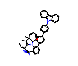 C/C=C(/C#N)C1=C(C)C2(C)C=CC=CC2N1c1c(C#N)cccc1-c1ccc(-c2ccc(-n3c4ccccc4c4ccccc43)cc2)cc1